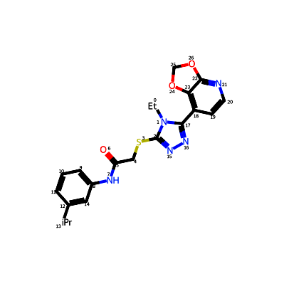 CCn1c(SCC(=O)Nc2cccc(C(C)C)c2)nnc1-c1ccnc2c1OCO2